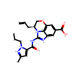 C=CC[C@H]1COc2cc(C(=O)O)cc3nc(NC(=O)c4cc(C)nn4CCC)n1c23